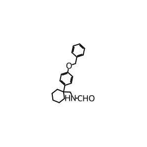 O=CNCC1(c2ccc(OCc3ccccc3)cc2)CCCCC1